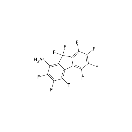 Fc1c(F)c(F)c2c(c1F)-c1c(F)c(F)c(F)c([AsH2])c1C2(F)F